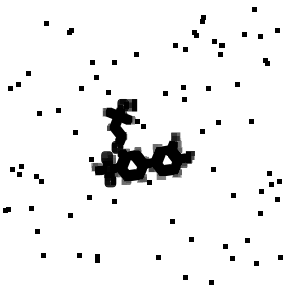 CC(C)(O)CCOc1cc(-c2ccc(F)c(F)c2)ccc1S(C)(=O)=O